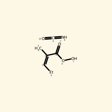 CCC=C(C)C(=O)OO.N=C=O